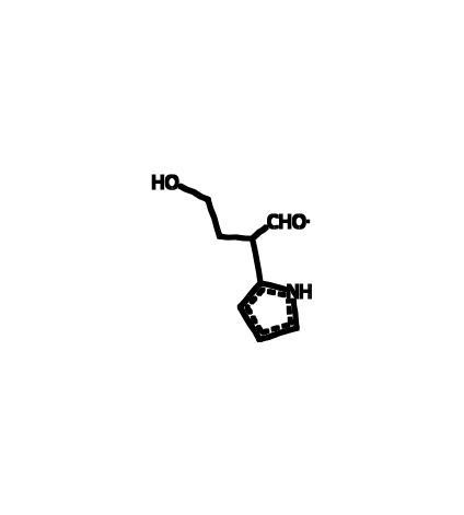 O=[C]C(CCO)c1ccc[nH]1